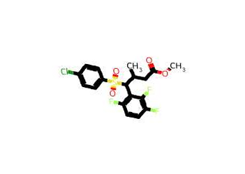 COC(=O)CC(C)C(c1c(F)ccc(F)c1F)S(=O)(=O)c1ccc(Cl)cc1